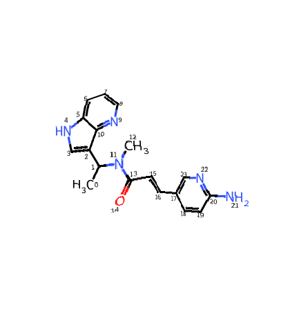 CC(c1c[nH]c2cccnc12)N(C)C(=O)C=Cc1ccc(N)nc1